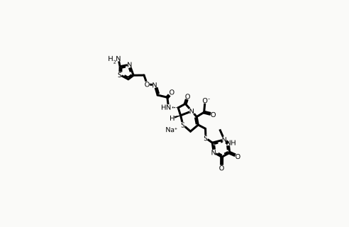 Cn1[nH]c(=O)c(=O)nc1SCC1=C(C(=O)[O-])N2C(=O)[C@@H](NC(=O)C=NOCc3csc(N)n3)[C@H]2SC1.[Na+]